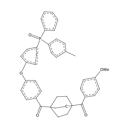 COc1ccc(C(=O)C23CCC(C(=O)c4ccc(Oc5ccc(P(=O)(c6ccccc6)c6ccc(C)cc6)cc5)cc4)(CC2)CC3)cc1